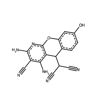 N#Cc1c(N)nc2c(c1N)C(C(C#N)C#N)c1ccc(O)cc1O2